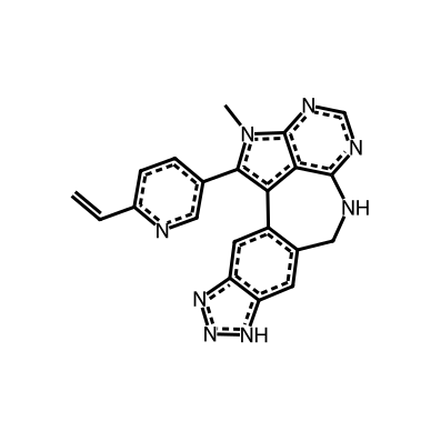 C=Cc1ccc(-c2c3c4c(ncnc4n2C)NCc2cc4[nH]nnc4cc2-3)cn1